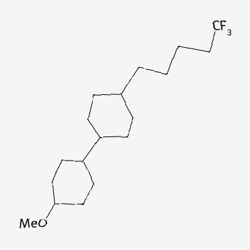 COC1CCC(C2CCC(CCCCC(F)(F)F)CC2)CC1